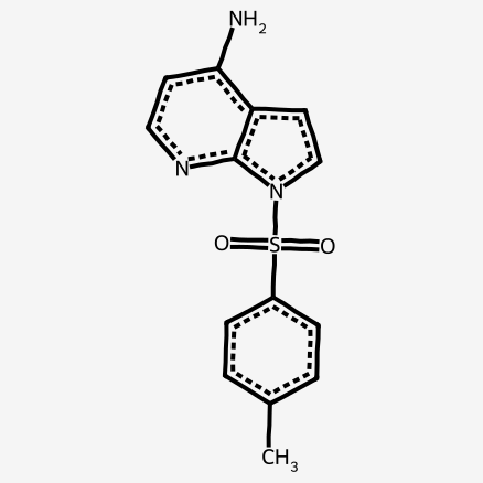 Cc1ccc(S(=O)(=O)n2ccc3c(N)ccnc32)cc1